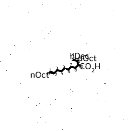 CCCCCCCCC=CCCCCCCC(C(=O)O)C(CCCCCCCC)CCCCCCCCCCC